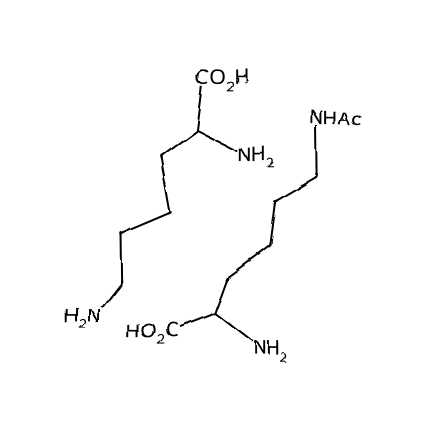 CC(=O)NCCCCC(N)C(=O)O.NCCCCC(N)C(=O)O